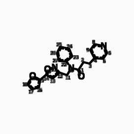 O=C(CCc1ccncc1)N(Cc1cc(-c2ccco2)on1)c1ccccc1